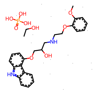 CCO.COc1ccccc1OCCNCC(O)COc1cccc2[nH]c3ccccc3c12.O=P(O)(O)O